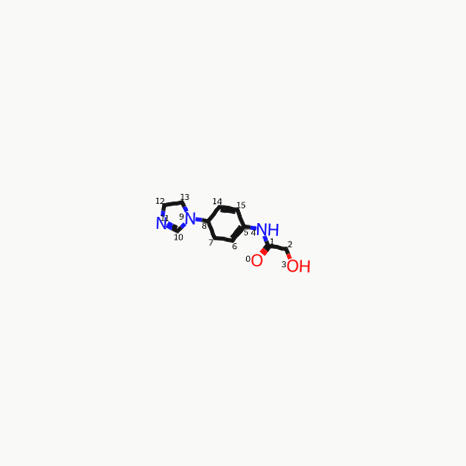 O=C(CO)NC1=CCC(N2C=NCC2)C=C1